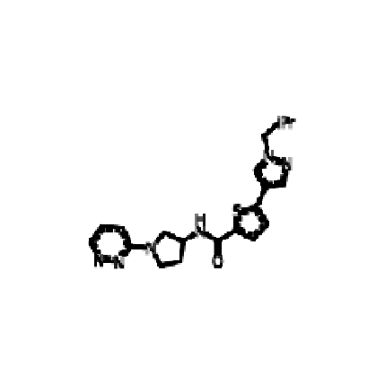 CC(C)Cn1cc(-c2ccc(C(=O)N[C@H]3CCN(c4cccnn4)C3)s2)cn1